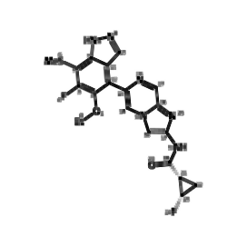 CCOc1c(F)c(SC)c2[nH]ncc2c1-c1cn2cc(NC(=O)[C@@H]3C[C@@H]3F)nc2cn1